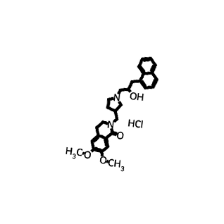 COc1cc2c(cc1OC)C(=O)N(CC1CCN(CC(O)Cc3cccc4ccccc34)C1)CC2.Cl